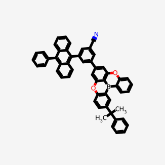 CC(C)(c1ccccc1)c1ccc2c(c1)B1c3ccccc3Oc3cc(-c4cc(C#N)cc(-c5c6ccccc6c(-c6ccccc6)c6ccccc56)c4)cc(c31)O2